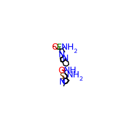 COCC1(F)CN(c2ccc3c(n2)CCC(NC(=O)c2sc4nc(C)ccc4c2N)C3)CC1N